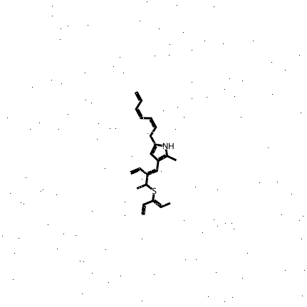 C=C/C=C\C=C/Cc1cc(/C=C(\C=C)C(C)S/C(C=C)=C\C)c(C)[nH]1